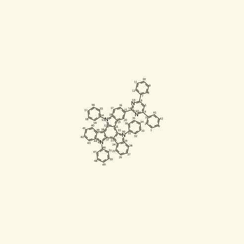 c1ccc(-c2cc(-c3ccccc3)nc(-c3ccc4c(c3)c3c5c(c6ccccc6n5-c5ccccc5)c5c(c6ccccc6n5-c5ccccc5)c3n4-c3ccccc3)n2)cc1